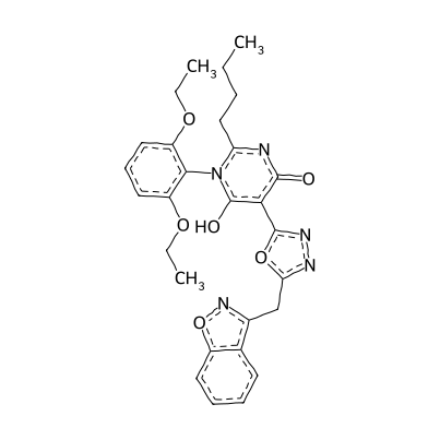 CCCCc1nc(=O)c(-c2nnc(Cc3noc4ccccc34)o2)c(O)n1-c1c(OCC)cccc1OCC